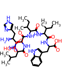 CCC(C)C(NC(=O)C(CC(=O)O)NC(=O)C(CC(C)C)NC(=O)C(N)Cc1c[nH]cn1)C(=O)NC(C(=O)NC(Cc1c[nH]c2ccccc12)C(=O)O)C(C)CC